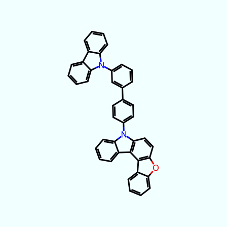 c1cc(-c2ccc(-n3c4ccccc4c4c5c(ccc43)oc3ccccc35)cc2)cc(-n2c3ccccc3c3ccccc32)c1